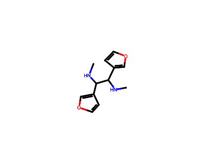 CNC(c1ccoc1)C(NC)c1ccoc1